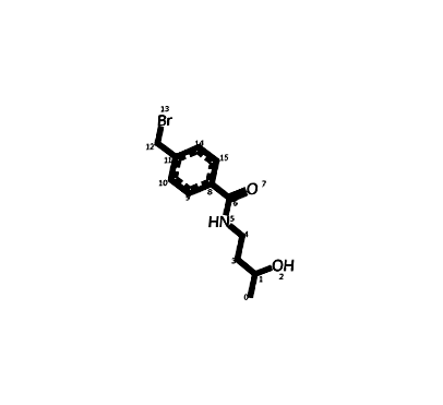 CC(O)CCNC(=O)c1ccc(CBr)cc1